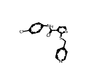 O=C(Nc1ccc(Cl)cc1)c1ccsc1SCc1ccncc1